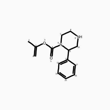 C=C(C)OC(=O)N1CCNCC1c1ccccc1